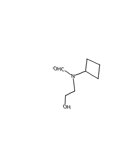 O=[C]N(CCO)C1CCC1